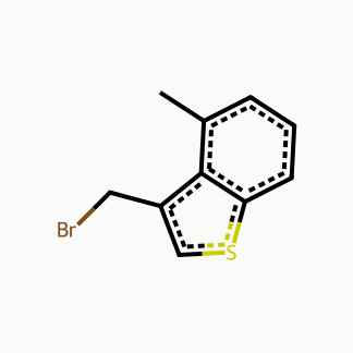 Cc1cccc2scc(CBr)c12